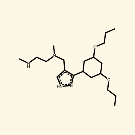 CCCOC1CC(OCCC)CC(c2n[nH]cc2CN(C)CCNC)C1